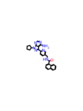 Nc1ncnc2c1c(-c1ccc(CNC(=O)c3cccc4ccccc34)cn1)nn2C1CCCC1